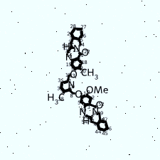 COc1cc2c(cc1OCc1nc(COc3cc4c(cc3C)C(=O)N3Cc5ccccc5C[C@H]3C=N4)ccc1C)N=C[C@@H]1Cc3ccccc3CN1C2=O